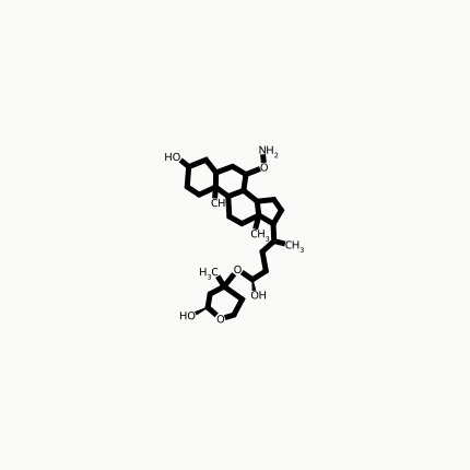 CC(CC[C@@H](O)OC1(C)CCO[C@@H](O)C1)C1CCC2C3C(ON)CC4CC(O)CCC4(C)C3CCC12C